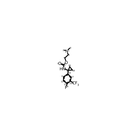 CN(C)CCOC(=O)NC1(c2ccc(F)c(C(F)(F)F)c2)CC1